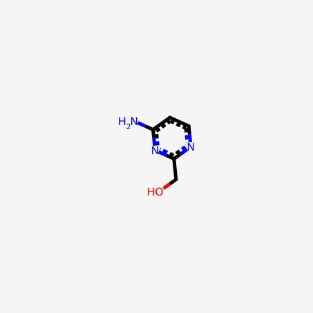 Nc1ccnc(CO)n1